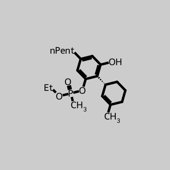 CCCCCc1cc(O)c([C@H]2C=C(C)CCC2)c(OP(C)(=O)OCC)c1